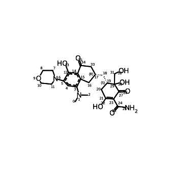 CN(C)c1cc(N2CCOCC2)c(O)c2c1C[C@@H](C[C@H]1CC(O)=C(C(N)=O)C(=O)C1(O)CO)CC2=O